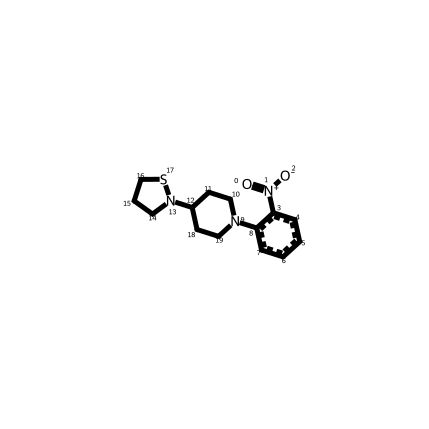 O=[N+]([O-])c1ccccc1N1CCC(N2CCCS2)CC1